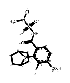 CN(C)S(=O)(=O)NC(=O)c1ccc(C(=O)O)c(F)c1N1C2CCC1CC2